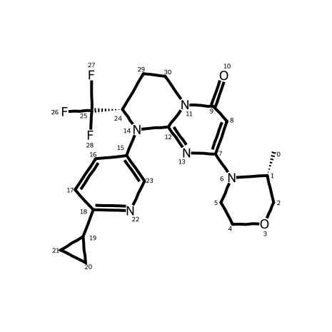 C[C@@H]1COCCN1c1cc(=O)n2c(n1)N(c1ccc(C3CC3)nc1)[C@H](C(F)(F)F)CC2